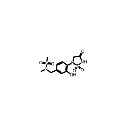 CN(Cc1ccc(N2CC(=O)NS2(=O)=O)c(O)c1)S(C)(=O)=O